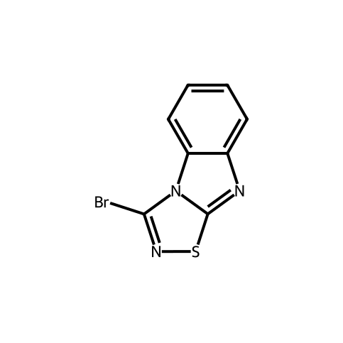 Brc1nsc2nc3ccccc3n12